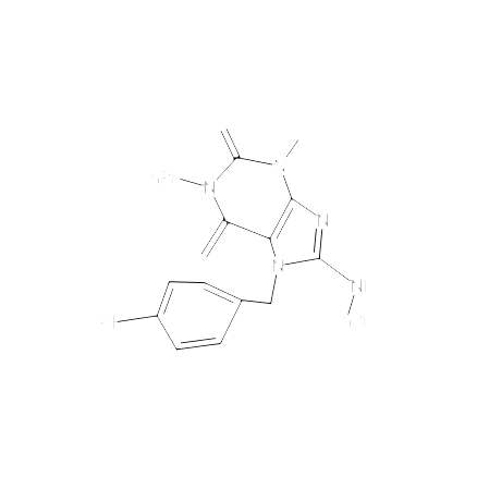 C=C1c2c(nc(NCCC)n2Cc2ccc(Cl)cc2)N(C)C(=C)N1CCC